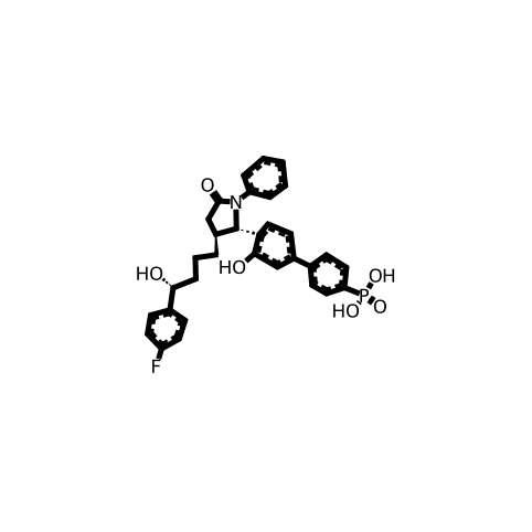 O=C1C[C@H](CCC[C@@H](O)c2ccc(F)cc2)[C@@H](c2ccc(-c3ccc(P(=O)(O)O)cc3)cc2O)N1c1ccccc1